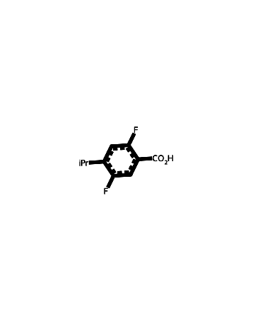 CC(C)c1cc(F)c(C(=O)O)cc1F